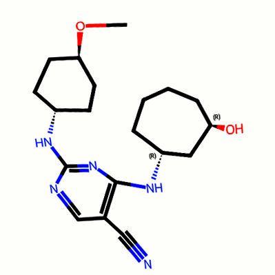 CO[C@H]1CC[C@H](Nc2ncc(C#N)c(N[C@@H]3CCCC[C@@H](O)C3)n2)CC1